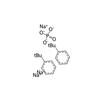 CC(C)(C)c1ccccc1.CC(C)(C)c1ccccc1.O=P([O-])([O-])[O-].[Na+].[Na+].[Na+]